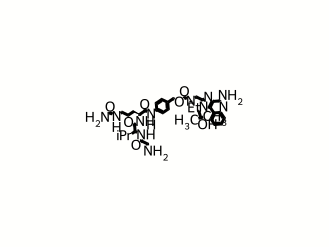 CCN(Cc1nc2c(N)nc3ccccc3c2n1CC(C)(C)O)C(=O)OCc1ccc(NC(=O)[C@H](CCCNC(N)=O)NC(=O)C(NC(=O)CN)C(C)C)cc1